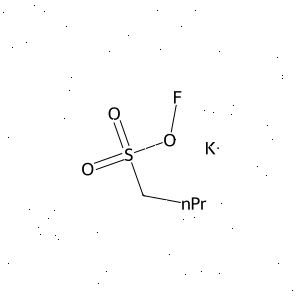 CCCCS(=O)(=O)OF.[K]